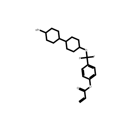 C=CC(=O)Oc1ccc(C(F)(F)OC2CCC(C3CCC(CCC)CC3)CC2)cc1